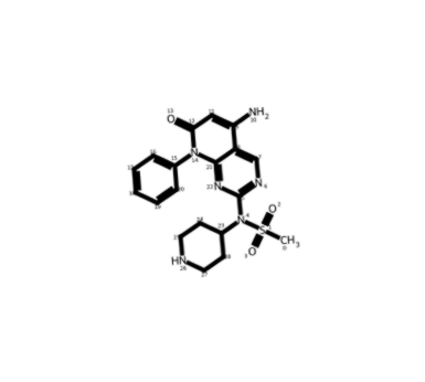 CS(=O)(=O)N(c1ncc2c(N)cc(=O)n(-c3ccccc3)c2n1)C1CCNCC1